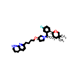 CC1(C)CC[C@@H](c2ccc(F)cc2[C@H](C(=O)O)N2CC[C@@H](OCCCCc3ccc4c(n3)NCCC4)C2)OC1